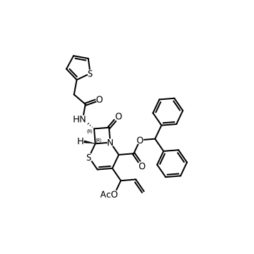 C=CC(OC(C)=O)C1=CS[C@@H]2[C@H](NC(=O)Cc3cccs3)C(=O)N2C1C(=O)OC(c1ccccc1)c1ccccc1